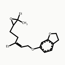 CCC(=CCOc1ccc2c(c1)OCC2)CCC1OC1(C)CC